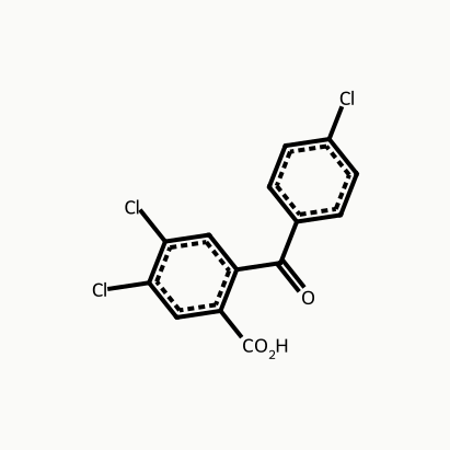 O=C(O)c1cc(Cl)c(Cl)cc1C(=O)c1ccc(Cl)cc1